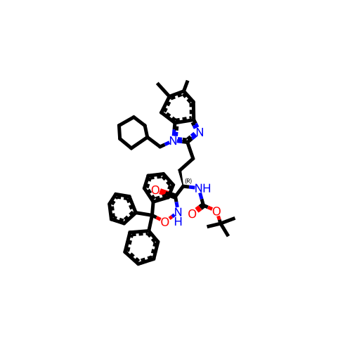 Cc1cc2nc(CC[C@@H](NC(=O)OC(C)(C)C)C(=O)NOC(c3ccccc3)(c3ccccc3)c3ccccc3)n(CC3CCCCC3)c2cc1C